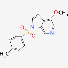 COc1cncc2c1ccn2S(=O)(=O)c1ccc(C)cc1